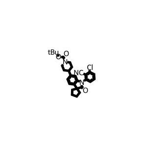 CC(C)(C)OC(=O)N1CCC(c2ccc3c(c2)N(c2cccc(Cl)c2C#N)C(=O)C32CCCC2)CC1